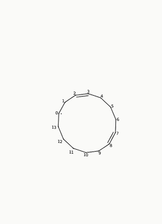 [CH]1CC=CCCCC=CCCCCC1